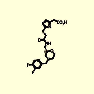 O=C(O)Cc1csc(SCC(=O)NC[C@H]2CN(Cc3ccc(F)c(F)c3)CCO2)n1